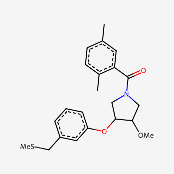 COC1CN(C(=O)c2cc(C)ccc2C)CC1Oc1cccc(CSC)c1